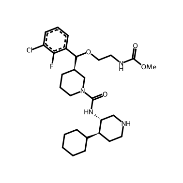 COC(=O)NCCOC(c1cccc(Cl)c1F)[C@@H]1CCCN(C(=O)N[C@@H]2CNCC[C@H]2C2CCCCC2)C1